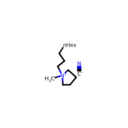 CCCCCCCCC[N+]1(C)CCCC1.[C-]#N